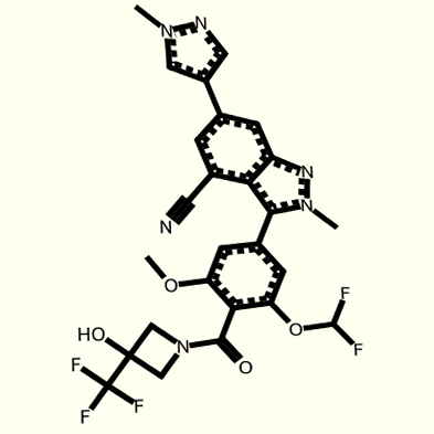 COc1cc(-c2c3c(C#N)cc(-c4cnn(C)c4)cc3nn2C)cc(OC(F)F)c1C(=O)N1CC(O)(C(F)(F)F)C1